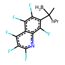 BC(C)(CCC)c1c(F)c(F)c2c(F)c(F)c(F)nc2c1F